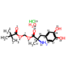 CC(C)(C)C(=O)OCOC(=O)[C@@](C)(N)Cc1ccc(O)c(O)c1.Cl.O